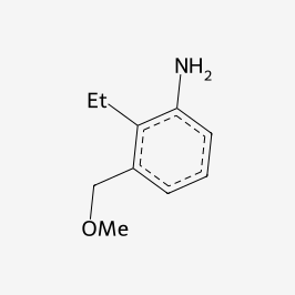 CCc1c(N)cccc1COC